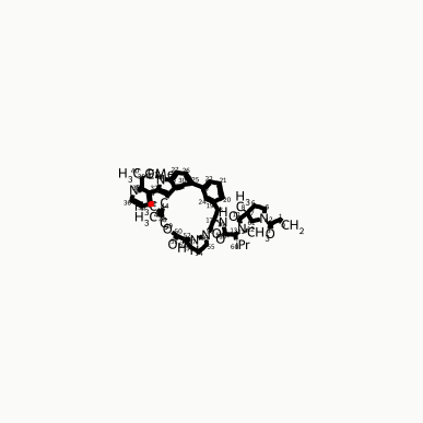 C=CC(=O)N1CC[C@](C)(C(=O)N(C)C(C(=O)N[C@H]2Cc3cccc(c3)-c3ccc4c(c3)c(c(-c3cccnc3[C@H](C)OC)n4CC)CC(C)(C)COC(=O)[C@@H]3CCCN(N3)C2=O)C(C)C)C1